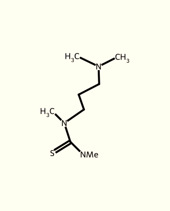 CNC(=S)N(C)CCCN(C)C